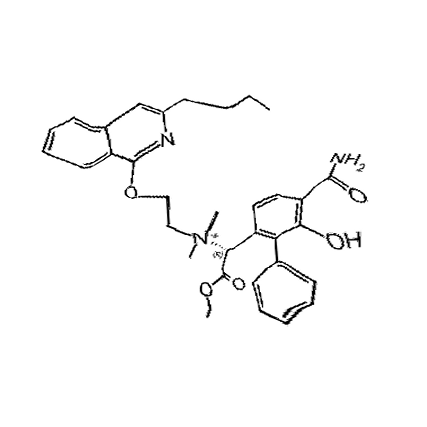 CCCCc1cc2ccccc2c(OCC[N+](C)(C)[C@@H](C(=O)OC)c2ccc(C(N)=O)c(O)c2-c2ccccc2)n1